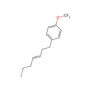 FC(F)(F)Oc1ccc(CCC=CCCI)cc1